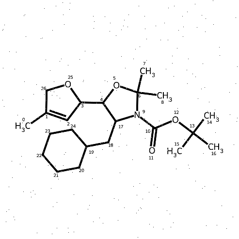 CC1=CC(C2OC(C)(C)N(C(=O)OC(C)(C)C)C2CC2CCCCC2)OC1